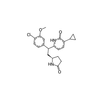 COc1cc(C(C[C@H]2CCC(=O)N2)c2ccc(C3CC3)c(=O)[nH]2)ccc1Cl